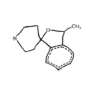 CC1OC2(CC[N]CC2)c2ccccc21